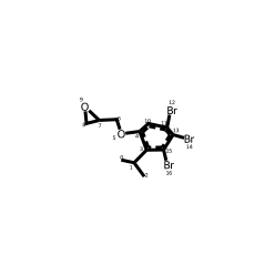 CC(C)c1c(OCC2CO2)cc(Br)c(Br)c1Br